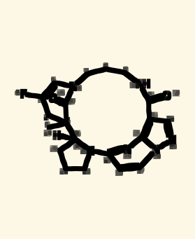 CC12CC(F)=CN(CCCNC(=O)c3cnn4ccc(nc34)N3CCC[C@@H]31)C2=O